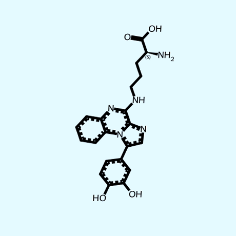 N[C@@H](CCCNc1nc2ccccc2n2c(-c3ccc(O)c(O)c3)cnc12)C(=O)O